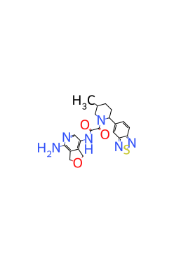 CC1CCC(c2ccc3nsnc3c2)N(C(=O)C(=O)Nc2cnc(N)c3c2COC3)C1